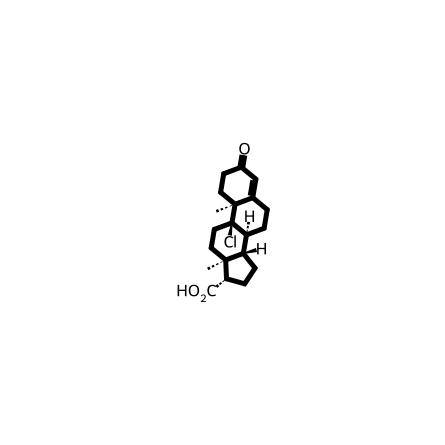 C[C@]12CC[C@@]3(Cl)[C@@H](CCC4=CC(=O)CC[C@@]43C)[C@@H]1CC[C@@H]2C(=O)O